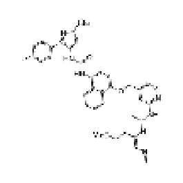 C=N/C=C(CCOC)\N=C(/C)Nc1cc(COc2ccc(NC(=O)Nc3cc(C(C)(C)C)nn3-c3ccc(C)cc3)c3ccccc23)ccn1